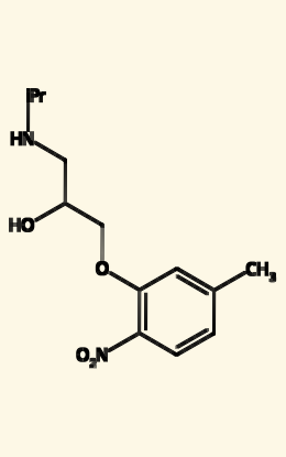 Cc1ccc([N+](=O)[O-])c(OCC(O)CNC(C)C)c1